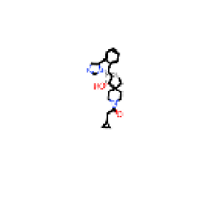 O=C(CC1CC1)N1CCC2(CC[C@@H]([C@H]3c4ccccc4-c4cncn43)[C@H]2O)CC1